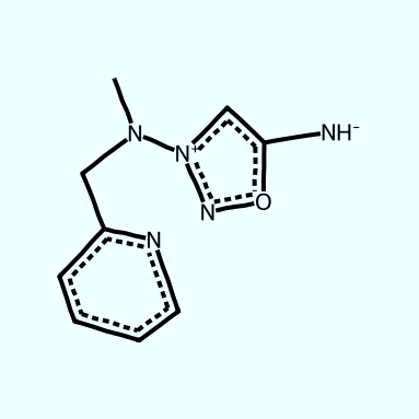 CN(Cc1ccccn1)[n+]1cc([NH-])on1